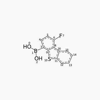 OB(O)c1ccc(F)c2c1sc1ccccc12